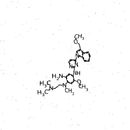 COCc1cn(-c2ccnc(Nc3cc(N)c(N(C)CCN(C)C)cc3OC)n2)c2ccccc12